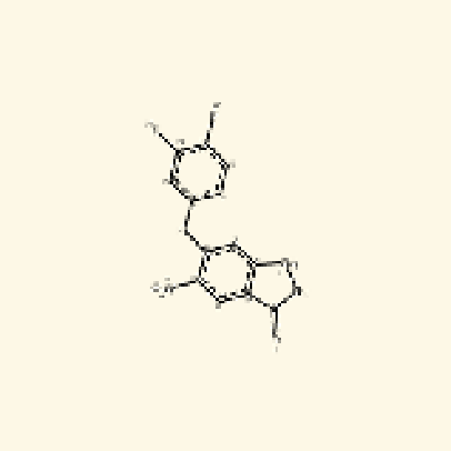 O=C1[N]Nc2cc(Cc3ccc(F)c(F)c3)c([N+](=O)[O-])cc21